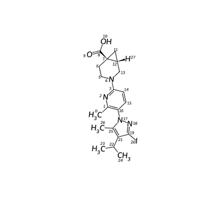 Cc1nc(N2CC[C@]3(C(=O)O)C[C@@H]3C2)ccc1-n1nc(I)c(C(C)C)c1C